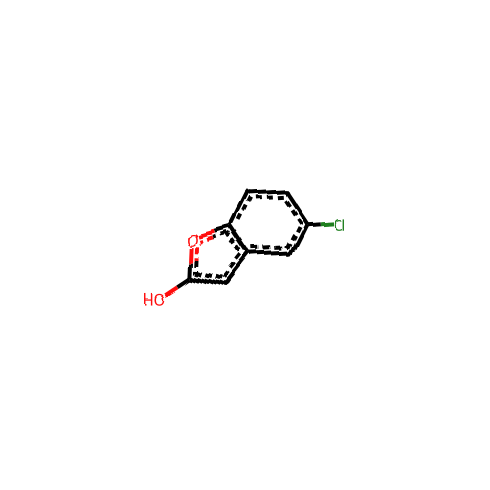 Oc1cc2cc(Cl)ccc2o1